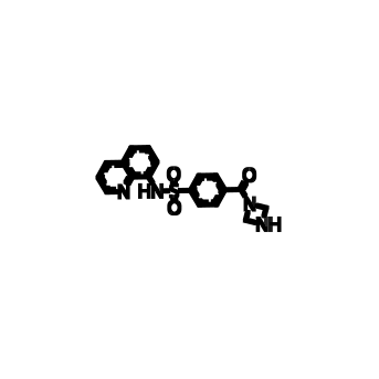 O=C(c1ccc(S(=O)(=O)Nc2cccc3cccnc23)cc1)N1CNC1